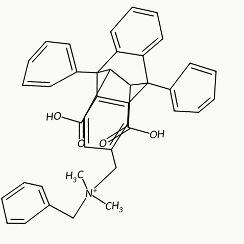 C[N+](C)(Cc1ccccc1)Cc1ccc2c(c1)C1(c3ccccc3)c3ccccc3C2(c2ccccc2)C(C(=O)O)C1C(=O)O